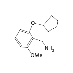 COc1cccc(OC2CCCC2)c1CN